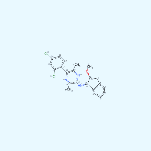 CO[C@H]1Cc2ccccc2[C@H]1Nc1nc(C)c(-c2ccc(Cl)cc2Cl)nc1C